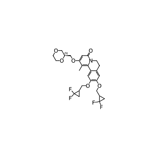 Cc1c(OC[C@@H]2COCCO2)cc(=O)n2c1-c1cc(OCC3CC3(F)F)c(OCC3CC3(F)F)cc1CC2